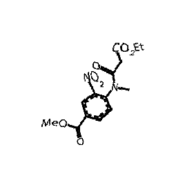 CCOC(=O)CC(=O)N(C)c1ccc(C(=O)OC)cc1[N+](=O)[O-]